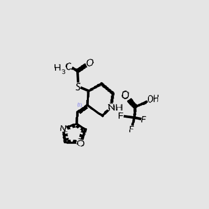 CC(=O)SC1CCNC/C1=C\c1cocn1.O=C(O)C(F)(F)F